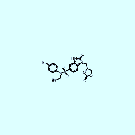 CCc1ccc(N(CC(C)C)S(=O)(=O)c2ccc3c(c2)[nH]c(=O)n3CC2COC(=O)O2)cc1